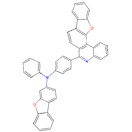 c1ccc(N(c2ccc(-c3nc4ccccc4c4c3ccc3c5ccccc5oc34)cc2)c2ccc3c(c2)oc2ccccc23)cc1